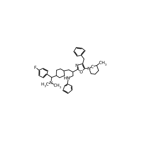 CC1CCCN(c2oc(C(CNc3ccccc3)CC3CCC(C(c4ccc(F)cc4)N(C)C)CC3)nc2Cc2ccccc2)C1